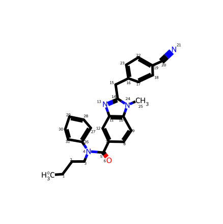 CCCCN(C(=O)c1ccc2c(c1)nc(Cc1ccc(C#N)cc1)n2C)c1ccccc1